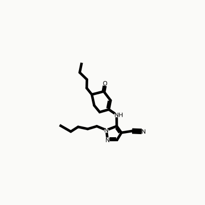 CCCCCn1ncc(C#N)c1NC1=CC(=O)C(CCCC)CC1